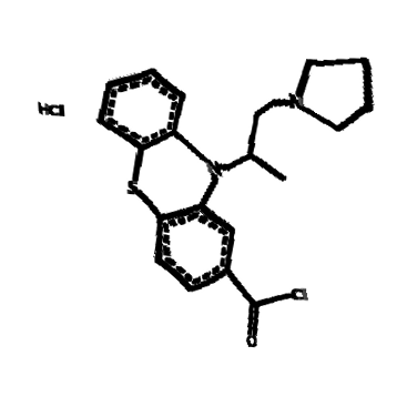 CC(CN1CCCC1)N1c2ccccc2Sc2ccc(C(=O)Cl)cc21.Cl